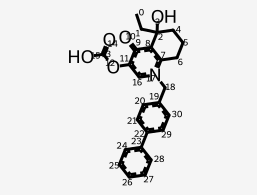 CCC1(O)CCCc2c1c(=O)c(OC(=O)O)cn2Cc1ccc(-c2ccccc2)cc1